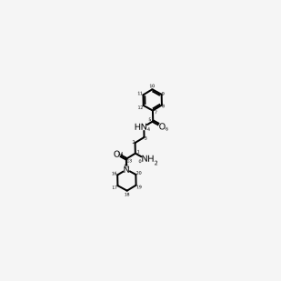 NC(CCNC(=O)c1ccccc1)C(=O)N1CCCCC1